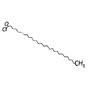 CCCCCCCCCCCCCCCCCCCCCCCCCCCC(=O)Cl